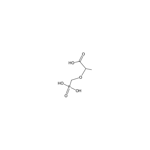 CC(OCP(=O)(O)O)C(=O)O